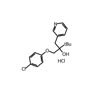 CC(C)(C)C(O)(COc1ccc(Cl)cc1)Cc1cccnc1.Cl